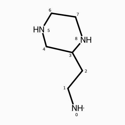 [NH]CCC1CNCCN1